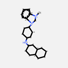 CCN1[CH]N(C2CCC(NC3CCC4CCCCC4C3)CC2)c2ccccc21